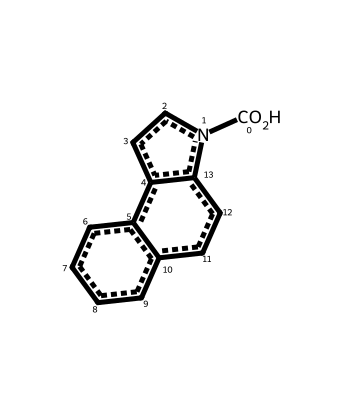 O=C(O)n1ccc2c3ccccc3ccc21